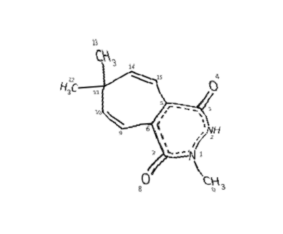 Cn1[nH]c(=O)c2c(c1=O)C=CC(C)(C)C=C2